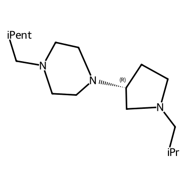 CCCC(C)CN1CCN([C@@H]2CCN(CC(C)C)C2)CC1